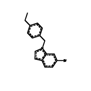 CCc1ccc(Cn2ccc3ccc(Br)cc32)cc1